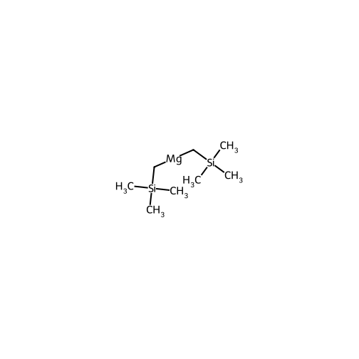 C[Si](C)(C)[CH2][Mg][CH2][Si](C)(C)C